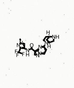 Cn1cc(NC(=O)c2cnn3ccc(N4CC[C@@H]5C[C@H]4CN5)nc23)c(C(F)(F)F)n1